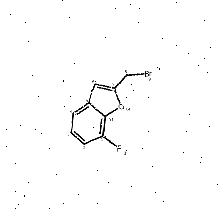 Fc1cccc2cc(CBr)oc12